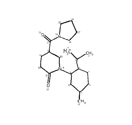 CC1CCC(C(C)C)C(N2CC(C(=O)N3CCCC3)CCC2=O)C1